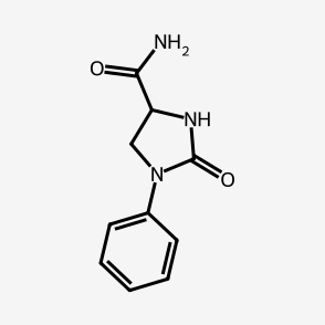 NC(=O)C1CN(c2ccccc2)C(=O)N1